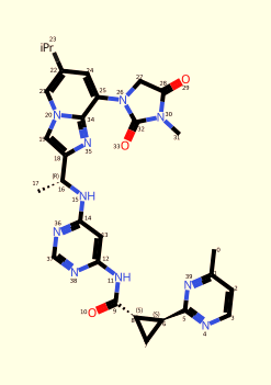 Cc1ccnc([C@H]2C[C@@H]2C(=O)Nc2cc(N[C@H](C)c3cn4cc(C(C)C)cc(N5CC(=O)N(C)C5=O)c4n3)ncn2)n1